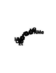 CC[C@@H]1Oc2ccc(CN3CCN(c4ccc(C(=O)NC)nc4)CC3)cc2NC1=O